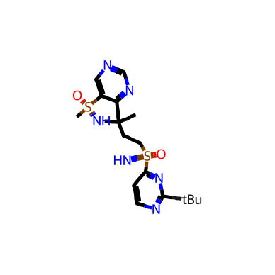 CC(C)(C)c1nccc(S(=N)(=O)CCC(C)(C)c2ncncc2S(C)(=N)=O)n1